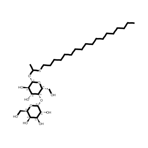 CCCCCCCCCCCCCCCCCCSC(C)O[C@@H]1O[C@H](CO)[C@H](O[C@H]2O[C@H](CO)[C@H](O)[C@H](O)[C@H]2O)[C@H](O)[C@H]1O